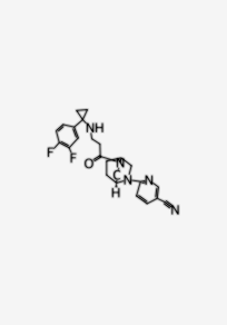 N#Cc1ccc(N2CC3CC[C@@H]2CN3C(=O)CCNC2(c3ccc(F)c(F)c3)CC2)nc1